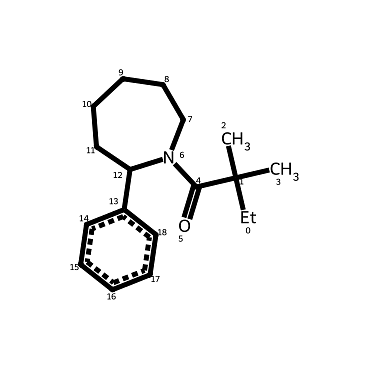 CCC(C)(C)C(=O)N1CCCCCC1c1ccccc1